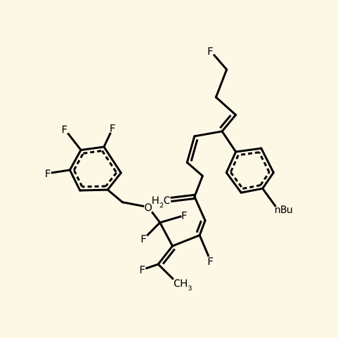 C=C(/C=C(F)\C(=C(/C)F)C(F)(F)OCc1cc(F)c(F)c(F)c1)C/C=C\C(=C/CCF)c1ccc(CCCC)cc1